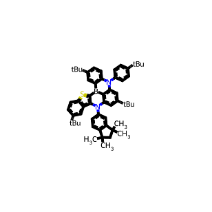 CC(C)(C)c1ccc(N2c3ccc(C(C)(C)C)cc3B3c4sc5ccc(C(C)(C)C)cc5c4N(c4ccc5c(c4)C(C)(C)CC5(C)C)c4cc(C(C)(C)C)cc2c43)cc1